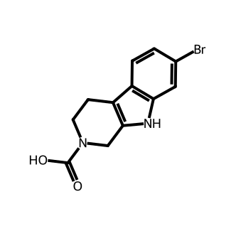 O=C(O)N1CCc2c([nH]c3cc(Br)ccc23)C1